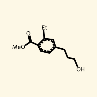 CCc1cc(CCCO)ccc1C(=O)OC